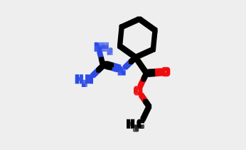 CCOC(=O)C1(N=C(N)N)CCCCC1